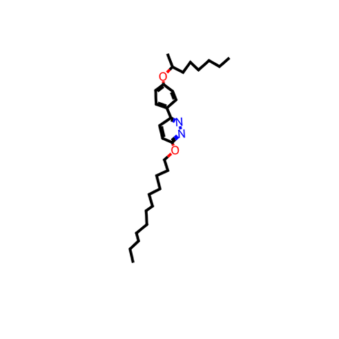 CCCCCCCCCCCCOc1ccc(-c2ccc(OC(C)CCCCCC)cc2)nn1